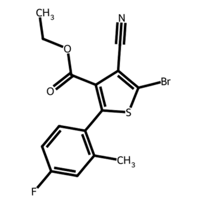 CCOC(=O)c1c(-c2ccc(F)cc2C)sc(Br)c1C#N